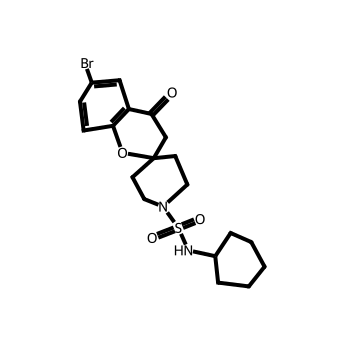 O=C1CC2(CCN(S(=O)(=O)NC3CCCCC3)CC2)Oc2ccc(Br)cc21